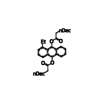 CCCCCCCCCCCC(=O)Oc1c2ccccc2c(OC(=O)CCCCCCCCCCC)c2c(CC)cccc12